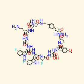 COc1ccc(C[C@@H]2NC(=O)[C@H]([C@@H](C)O)NC(=O)[C@@H]3C[C@H](F)CN3C(=O)[C@H](Cc3c[nH]c4ccc(F)cc34)NC(=O)[C@H](Cc3c[nH]c4ccc(F)cc34)NC(=O)[C@@H](C)NC(=O)[C@H](CCCCN)NC(=O)[C@@H](NC(C)=O)CC(=O)NCc3ccc(cc3)C[C@@H](C(N)=O)NC(=O)[C@]3(C)CCCN3C2=O)cc1